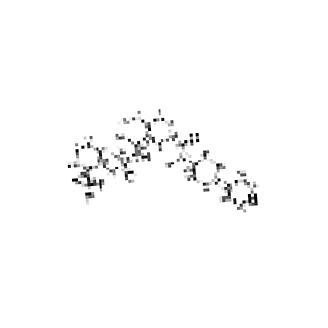 CN(C(=O)c1ccc2c(c1)C(NS(=O)(=O)Cc1ccccc1C(F)(F)F)CCC2)C1CCN(c2ccncc2)CC1